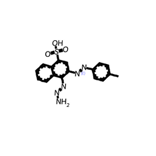 Cc1ccc(/N=N/c2cc(S(=O)(=O)O)c3ccccc3c2N=NN)cc1